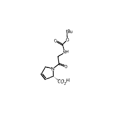 CC(C)(C)OC(=O)NCC(=O)N1CC=C[C@H]1C(=O)O